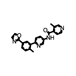 Cc1cnccc1C(=O)Nc1ccc(-c2cc(-c3ncco3)ccc2C)nc1